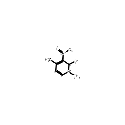 CC1=C([N+](=O)[O-])C(Br)N(C)C=C1